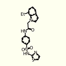 CCc1cccc2ccn(CC(=O)Nc3ccc(S(=O)(=O)Nc4nccs4)cc3)c12